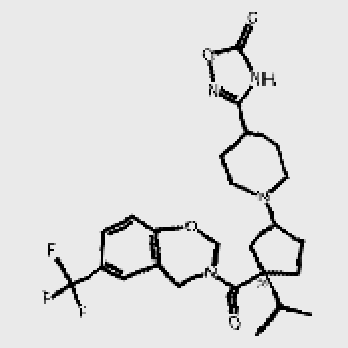 CC(C)[C@]1(C(=O)N2COc3ccc(C(F)(F)F)cc3C2)CCC(N2CCC(c3noc(=O)[nH]3)CC2)C1